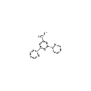 [CH2-][OH+]c1cc(-c2ccccn2)nc(-c2ccccn2)c1